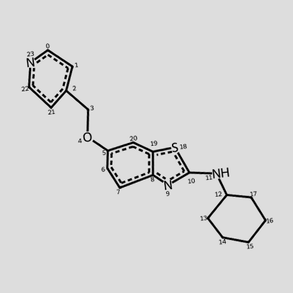 c1cc(COc2ccc3nc(NC4CCCCC4)sc3c2)ccn1